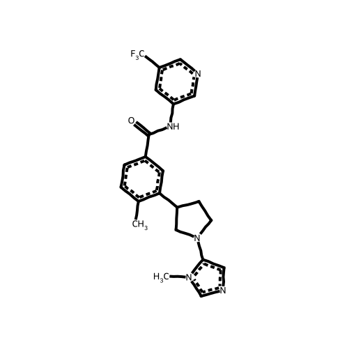 Cc1ccc(C(=O)Nc2cncc(C(F)(F)F)c2)cc1C1CCN(c2cncn2C)C1